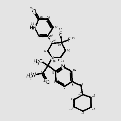 CC(C(N)=O)(c1ccc(CC2CCCCC2)cn1)N1CCC(F)(F)[C@@H](c2ccc(=O)[nH]c2)C1